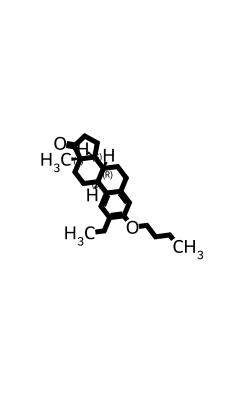 CCCCOc1cc2c(cc1CC)[C@H]1CC[C@]3(C)C(=O)CC[C@H]3[C@@H]1CC2